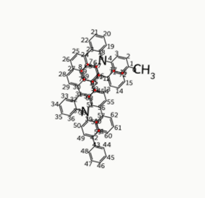 Cc1ccc(N(c2ccccc2-c2ccccc2)c2ccccc2-c2ccc3ccc4c(-c5ccccc5N(c5ccc(-c6ccccc6)cc5)c5ccccc5-c5ccccc5)ccc5ccc2c3c54)cc1